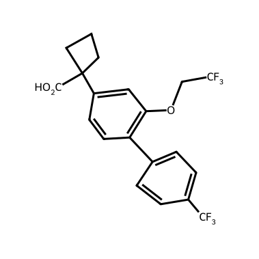 O=C(O)C1(c2ccc(-c3ccc(C(F)(F)F)cc3)c(OCC(F)(F)F)c2)CCC1